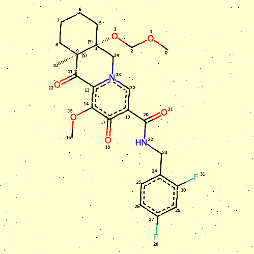 COCO[C@@]12CCCC[C@]1(C)C(=O)c1c(OC)c(=O)c(C(=O)NCc3ccc(F)cc3F)cn1C2